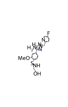 COc1cc(/C(N)=N/N(N)Cc2ccc(F)cn2)ccc1SNCCO